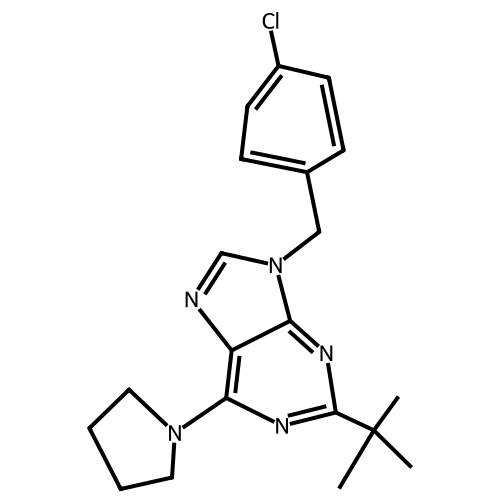 CC(C)(C)c1nc(N2CCCC2)c2ncn(Cc3ccc(Cl)cc3)c2n1